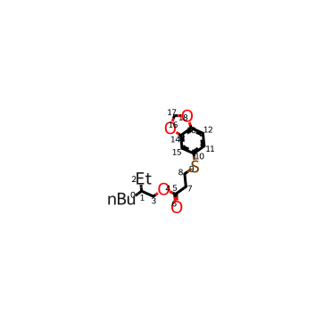 CCCCC(CC)COC(=O)CCSc1ccc2c(c1)OCO2